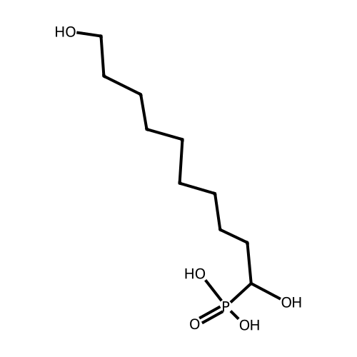 O=P(O)(O)C(O)CCCCCCCCCO